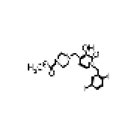 COC(=O)N1CCN(Cc2ccn(Cc3cc(I)ccc3I)c(=O)c2O)CC1